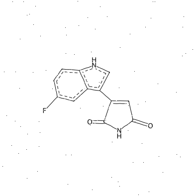 O=C1C=C(c2c[nH]c3ccc(F)cc23)C(=O)N1